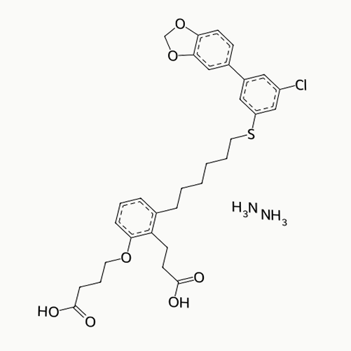 N.N.O=C(O)CCCOc1cccc(CCCCCCSc2cc(Cl)cc(-c3ccc4c(c3)OCO4)c2)c1CCC(=O)O